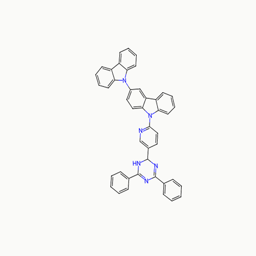 c1ccc(C2=NC(c3ccc(-n4c5ccccc5c5cc(-n6c7ccccc7c7ccccc76)ccc54)nc3)NC(c3ccccc3)=N2)cc1